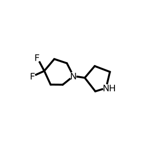 FC1(F)CCN(C2CCNC2)CC1